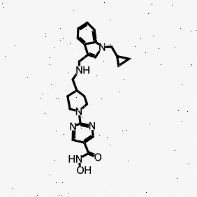 O=C(NO)c1cnc(N2CCC(CNCc3cn(CC4CC4)c4ccccc34)CC2)nc1